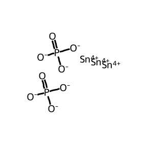 O=P([O-])([O-])[O-].O=P([O-])([O-])[O-].[Sn+4].[Sn+4].[Sn+4]